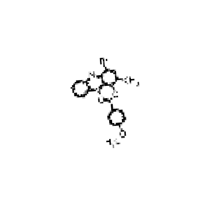 COc1ccc(C(=O)Oc2c(C)cc(Br)c3nc4ccccc4nc23)cc1